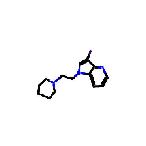 Ic1cn(CCN2CCCCC2)c2cccnc12